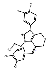 CCCN1NC(c2ccc(Cl)c(Cl)c2)C2=C1/C(=C\c1ccc(Cl)c(Cl)c1)CSC2